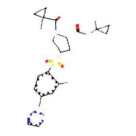 N#CC1(NC(=O)[C@@H]2C[C@@H](S(=O)(=O)c3ccc(-n4nccn4)cc3Cl)CN2C(=O)C2(C(F)(F)F)CC2)CC1